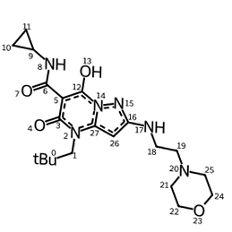 CC(C)(C)Cn1c(=O)c(C(=O)NC2CC2)c(O)n2nc(NCCN3CCOCC3)cc12